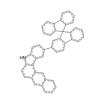 c1ccc2c(c1)-c1ccccc1C21c2ccccc2-c2ccc(-c3ccc4[nH]c5ccc6cc7ccccc7cc6c5c4c3)cc21